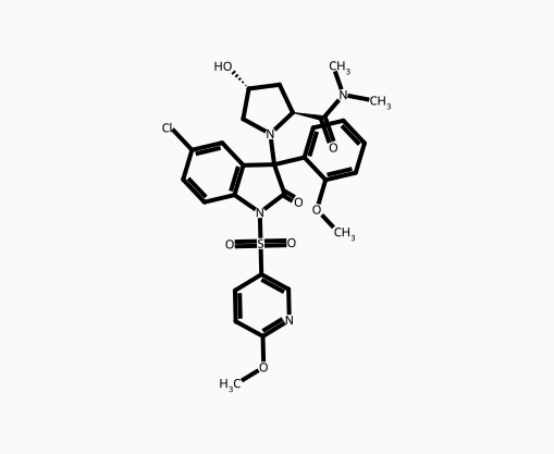 COc1ccc(S(=O)(=O)N2C(=O)C(c3ccccc3OC)(N3C[C@H](O)C[C@H]3C(=O)N(C)C)c3cc(Cl)ccc32)cn1